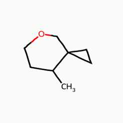 CC1CCOCC12CC2